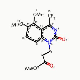 COC(=O)CCn1c(=O)nc(C(F)(F)F)c2c(OC)c(OC)ccc21